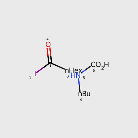 CCCCCCC(=O)I.CCCCNC(=O)O